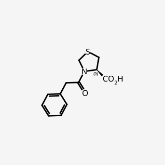 O=C(O)[C@@H]1CSCN1C(=O)Cc1ccccc1